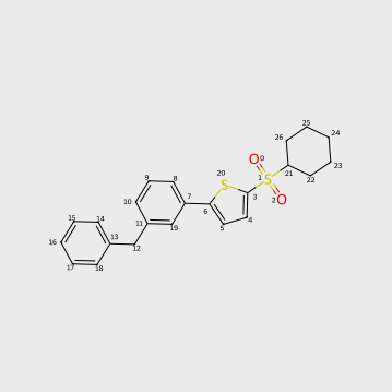 O=S(=O)(c1ccc(-c2cccc(Cc3ccccc3)c2)s1)C1CCCCC1